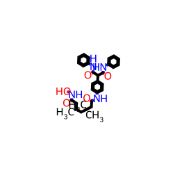 CC(CC(=O)NO)CC(C)(C)CC(=O)Nc1ccc(C(C(=O)Nc2ccccc2)C(=O)Nc2ccccc2)cc1